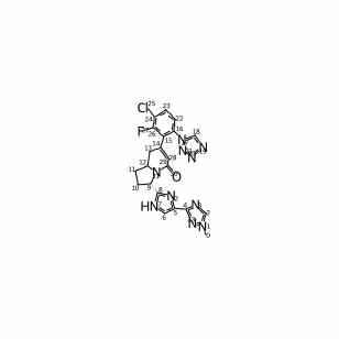 Cn1cnc(-c2c[nH]c([C@@H]3CCC4CC(c5c(-n6cnnn6)ccc(Cl)c5F)=CC(=O)N43)n2)n1